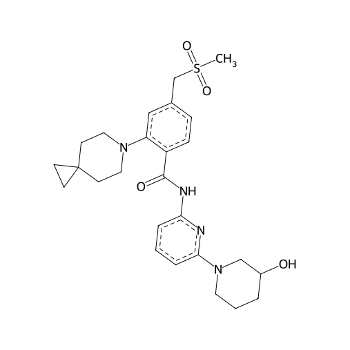 CS(=O)(=O)Cc1ccc(C(=O)Nc2cccc(N3CCCC(O)C3)n2)c(N2CCC3(CC2)CC3)c1